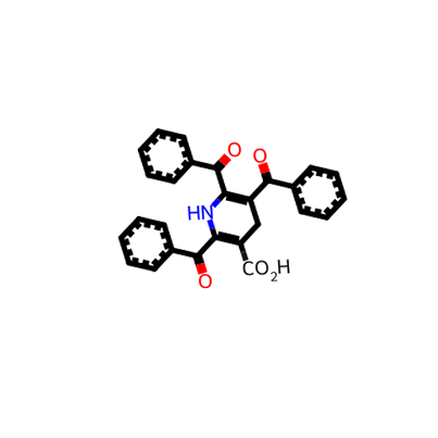 O=C(O)C1=C(C(=O)c2ccccc2)NC(C(=O)c2ccccc2)=C(C(=O)c2ccccc2)C1